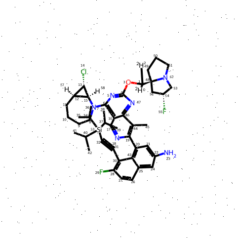 [2H]C([2H])(Oc1nc(N2CCCC[C@H]3[C@H](Cl)[C@H]32)c2cnc(-c3cc(N)cc4ccc(F)c(C#C[Si](C(C)C)(C(C)C)C(C)C)c34)c(C)c2n1)[C@@]12CCCN1C[C@H](F)C2